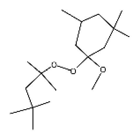 COC1(OOC(C)(C)CC(C)(C)C)CC(C)CC(C)(C)C1